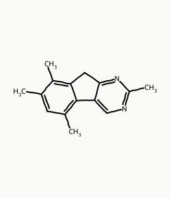 Cc1ncc2c(n1)Cc1c(C)c(C)cc(C)c1-2